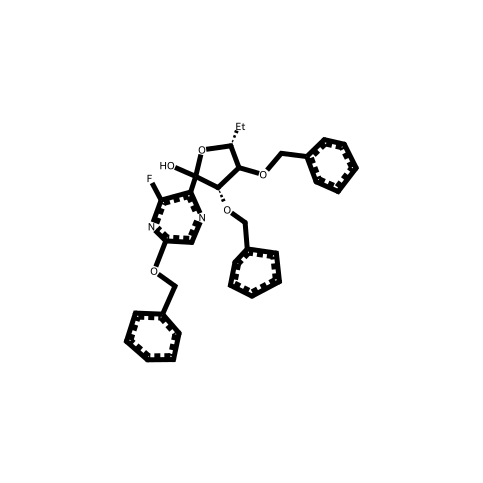 CC[C@H]1OC(O)(c2ncc(OCc3ccccc3)nc2F)[C@@H](OCc2ccccc2)C1OCc1ccccc1